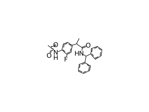 CC(C(=O)NC(c1ccccc1)c1ccccc1)c1ccc(NS(C)(=O)=O)c(F)c1